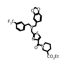 CCOC(=O)C1CCCN(C(=O)c2csc(CN(Cc3cccc(C(F)(F)F)c3)Cc3ccc4c(c3)OCO4)n2)C1